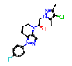 Cc1nn(CC(=O)N2CCCc3c2cnn3-c2ccc(F)cc2)c(C)c1Cl